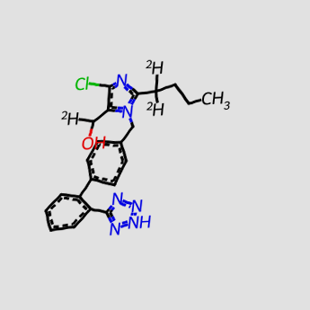 [2H]C(O)c1c(Cl)nc(C([2H])([2H])CCC)n1Cc1ccc(-c2ccccc2-c2nn[nH]n2)cc1